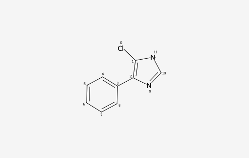 ClC1=C(c2ccccc2)N=C[N]1